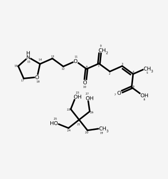 C=C(CC=C(C)C(=O)O)C(=O)OCCC1NCCO1.CCC(CO)(CO)CO